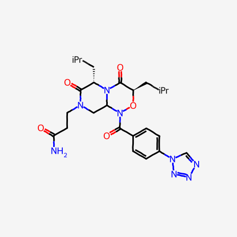 CC(C)C[C@H]1ON(C(=O)c2ccc(-n3cnnn3)cc2)C2CN(CCC(N)=O)C(=O)[C@H](CC(C)C)N2C1=O